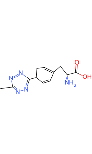 Cc1nnc(C2C=CC(C[C@H](N)C(=O)O)=CC2)nn1